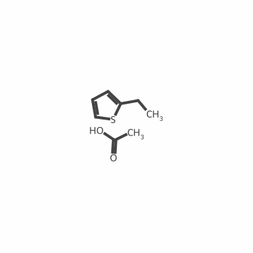 CC(=O)O.CCc1cccs1